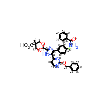 CC1(C(=O)O)COC(c2nc(-c3ccc(F)cc3)c(-c3ccnc(OCc4ccccc4)n3)[nH]2)OC1.NC(=O)c1ccccc1